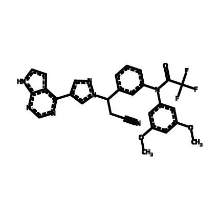 COc1cc(OC)cc(N(C(=O)C(F)(F)F)c2cccc(C(CC#N)n3cc(-c4ncnc5[nH]ccc45)cn3)c2)c1